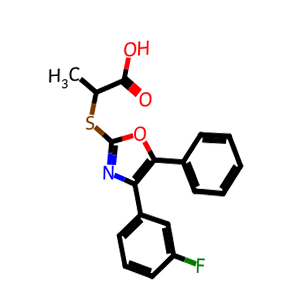 CC(Sc1nc(-c2cccc(F)c2)c(-c2ccccc2)o1)C(=O)O